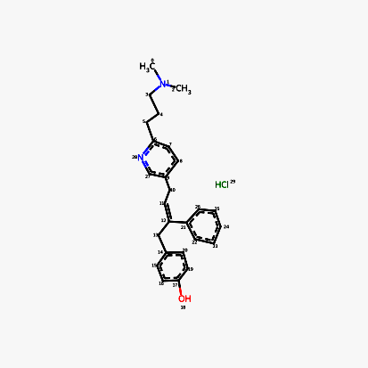 CN(C)CCCc1ccc(CC=C(Cc2ccc(O)cc2)c2ccccc2)cn1.Cl